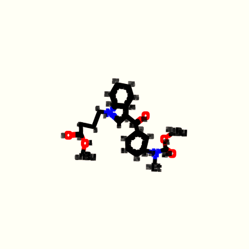 CCCCOC(=O)CCCn1cc(C(=O)c2cccc(N(CC)C(=O)OC(C)(C)C)c2)c2ccccc21